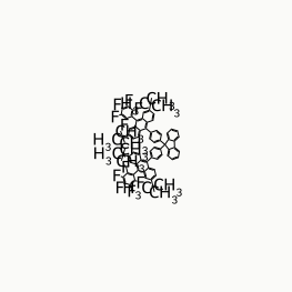 CC(C)(C)c1ccc2c(-c3ccc(C4(c5ccc(-c6c7ccc(C(C)(C)C)cc7c(-c7c(F)c(F)c(F)c(F)c7F)c7cc(C(C)(C)C)ccc67)cc5)c5ccccc5-c5ccccc54)cc3)c3ccc(C(C)(C)C)cc3c(-c3c(F)c(F)c(F)c(F)c3F)c2c1